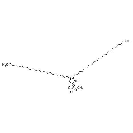 CCCCCCCCCCCCCCCCCCCCCCC1=[N+](CCCCCCCCCCCCCCCCCCCCCC)CCN1.COS(=O)(=O)[O-]